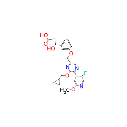 COc1cc(-c2ncc(COc3cccc([C@H](O)CC(=O)O)c3)nc2OCC2CC2)c(F)cn1